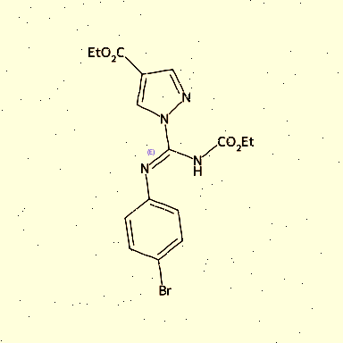 CCOC(=O)N/C(=N\c1ccc(Br)cc1)n1cc(C(=O)OCC)cn1